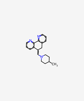 CC1CCN(C=C2Cc3cccnc3-c3ncccc32)CC1